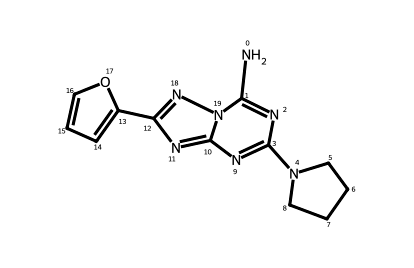 Nc1nc(N2CCCC2)nc2nc(-c3ccco3)nn12